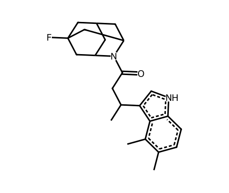 Cc1ccc2[nH]cc(C(C)CC(=O)N3C4CC5CC3CC(F)(C5)C4)c2c1C